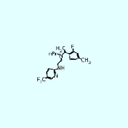 C=C(c1ccc(C)cc1F)N(CCC)CCNc1ccc(C(F)(F)F)cn1